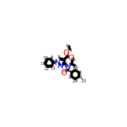 CCOC(=O)c1cn(-c2ccccc2)nc1N(C(=O)[C@H]1CC[C@H](C)CC1)C(C)C